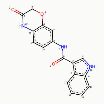 O=C1COc2cc(NC(=O)c3c[nH]c4ccccc34)ccc2N1